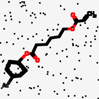 C=CC(=O)OCCCCCC(=O)Oc1ccc(C(C)=O)cc1